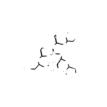 CCC(OC)OC(CC)OP(OC(CC)OC(CC)OC)OC(CC)OC(CC)OC